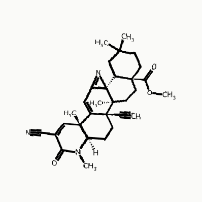 C#C[C@@]12CC[C@H]3N(C)C(=O)C(C#N)=C[C@]3(C)C1=CC1=N[C@]13C1CC(C)(C)CC[C@]1(C(=O)OC)CC[C@@]23C